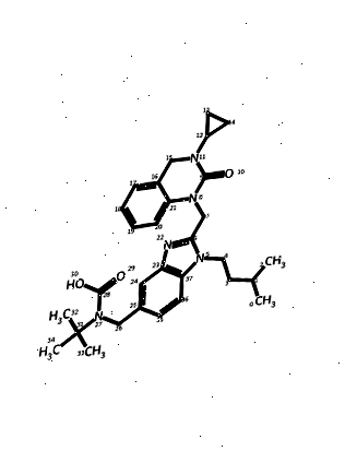 CC(C)CCn1c(CN2C(=O)N(C3CC3)Cc3ccccc32)nc2cc(CN(C(=O)O)C(C)(C)C)ccc21